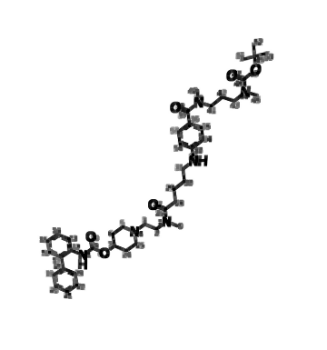 CN(CCN1CCC(OC(=O)Nc2ccccc2-c2ccccc2)CC1)C(=O)CCCCNc1ccc(C(=O)N(C)CCCN(C)C(=O)OC(C)(C)C)cc1